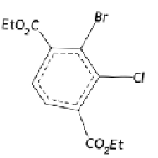 CCOC(=O)c1ccc(C(=O)OCC)c(Br)c1Cl